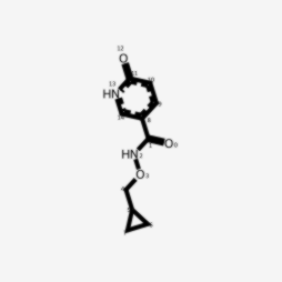 O=C(NOCC1CC1)c1ccc(=O)[nH]c1